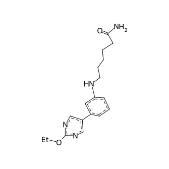 CCOc1ncc(-c2cccc(NCCCCCC(N)=O)c2)cn1